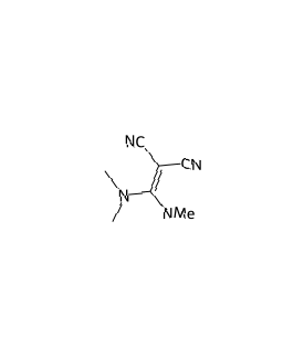 CNC(=C(C#N)C#N)N(C)C